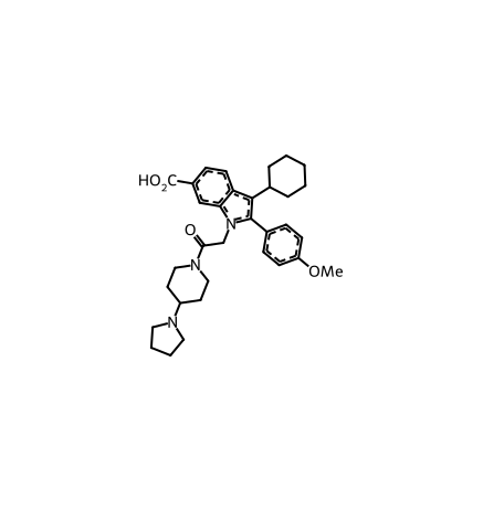 COc1ccc(-c2c(C3CCCCC3)c3ccc(C(=O)O)cc3n2CC(=O)N2CCC(N3CCCC3)CC2)cc1